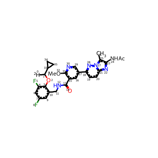 [2H]C(Oc1c(F)cc(F)cc1CNC(=O)c1cc(-c2ccc3nc(NC(C)=O)c(C)n3n2)cnc1OC)C1CC1